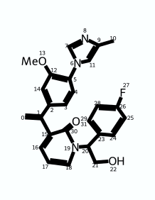 C=C(c1ccc(-n2cnc(C)c2)c(OC)c1)c1cccn(C(CO)c2ccc(F)cc2)c1=O